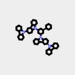 c1ccc(-c2cc(-n3c4ccccc4c4cc(-n5c6ccccc6c6ccccc65)ccc43)cc(-n3c4ccccc4c4cc(-n5c6ccccc6c6ccccc65)ccc43)c2)cc1